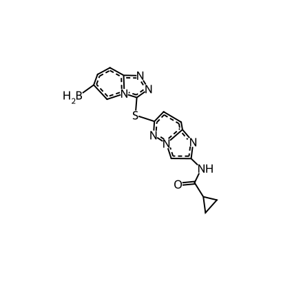 Bc1ccc2nnc(Sc3ccc4nc(NC(=O)C5CC5)cn4n3)n2c1